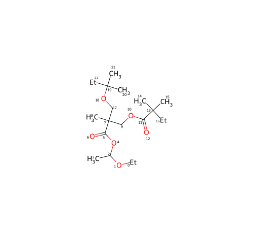 CCOC(C)OC(=O)C(C)(COC(=O)C(C)(C)CC)COC(C)(C)CC